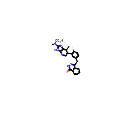 Cc1c(-c2cc(Cc3n[nH]c(=O)c4ccccc34)ccc2F)cnc2[nH]c(N(C)C(=O)O)nc12